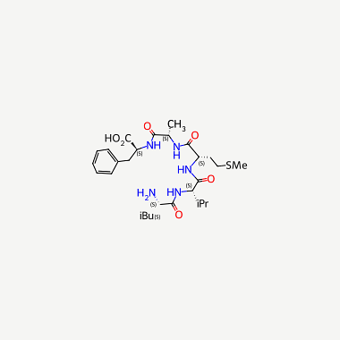 CC[C@H](C)[C@H](N)C(=O)N[C@H](C(=O)N[C@@H](CCSC)C(=O)N[C@@H](C)C(=O)N[C@@H](Cc1ccccc1)C(=O)O)C(C)C